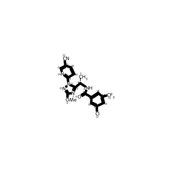 COc1nc([C@H](C)NC(=O)c2cc(Cl)cc(C(F)(F)F)c2)n(-c2ccc(C#N)cn2)n1